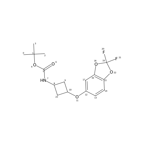 CC(C)(C)OC(=O)NC1CC(Oc2ccc3c(c2)OC(F)(F)O3)C1